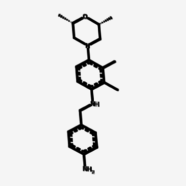 Cc1c(NCc2ccc(N)cc2)ccc(N2C[C@@H](C)O[C@@H](C)C2)c1C